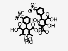 CC1=C(C(=O)O)C(c2cccc([N+](=O)[O-])c2)C(C(=O)O)=C(C)N1.Cl.Cl.O=C(O)C1=CN(O)C(c2cccc([N+](=O)[O-])c2)C(C(=O)O)=C1O